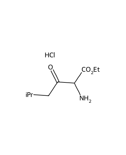 CCOC(=O)C(N)C(=O)CC(C)C.Cl